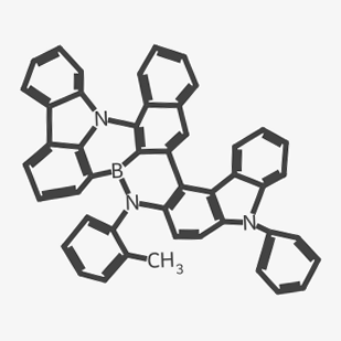 Cc1ccccc1N1B2c3c(cc4ccccc4c3-n3c4ccccc4c4cccc2c43)-c2c1ccc1c2c2ccccc2n1-c1ccccc1